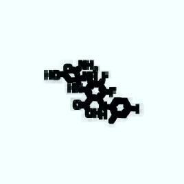 Cc1cc(I)ccc1Nc1c(F)c(F)c2c(c1C(=O)O)NC(CCO)(C(N)=O)N2